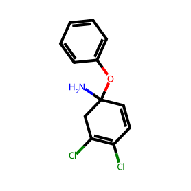 NC1(Oc2ccccc2)C=CC(Cl)=C(Cl)C1